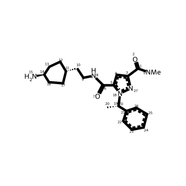 CNC(=O)c1cc(C(=O)NCC[C@H]2CC[C@H](N)CC2)n([C@@H](C)c2ccccc2)n1